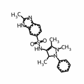 CC1=C(NS(=O)(=O)c2ccc3nc(C)[nH]c3c2)C(C)N(c2ccccc2)N1C